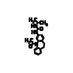 CC(=O)N1c2ccccc2CCc2ccc(NC(=O)NC(C)C)cc21